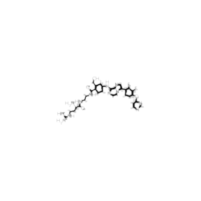 CCc1cc(Nc2nccn3c(-c4ccc(Oc5ccncn5)c(F)c4F)cnc23)ccc1C(=O)NCCNC(=O)[C@H](N)CCNC(=N)N